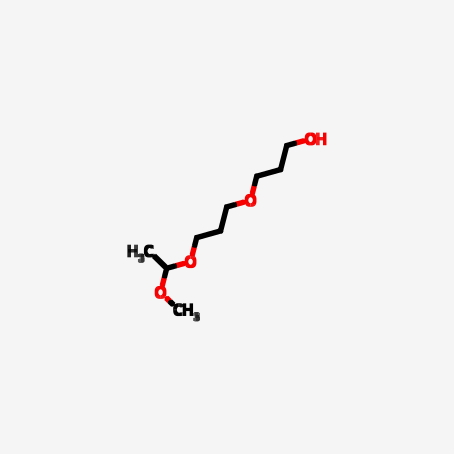 COC(C)OCCCOCCCO